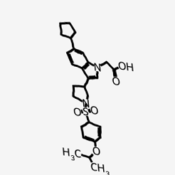 CC(C)OC1=CCC(S(=O)(=O)N2CCC(c3cn(CC(=O)O)c4cc(C5CCCC5)ccc34)C2)C=C1